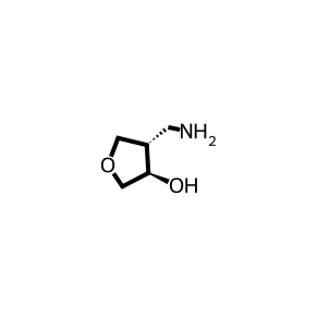 NC[C@H]1COC[C@@H]1O